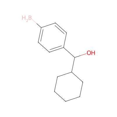 Bc1ccc(C(O)C2CCCCC2)cc1